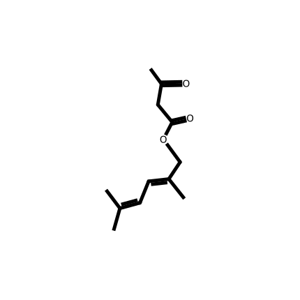 CC(=O)CC(=O)OCC(C)=CC=C(C)C